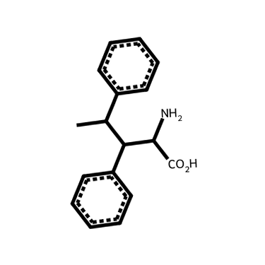 CC(c1ccccc1)C(c1ccccc1)C(N)C(=O)O